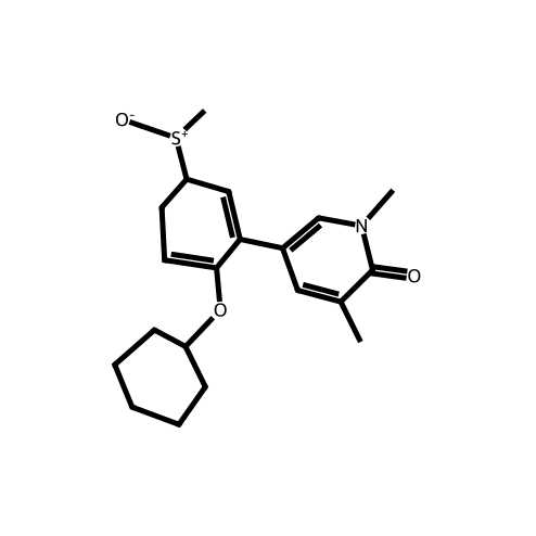 Cc1cc(C2=CC([S+](C)[O-])CC=C2OC2CCCCC2)cn(C)c1=O